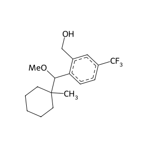 COC(c1ccc(C(F)(F)F)cc1CO)C1(C)CCCCC1